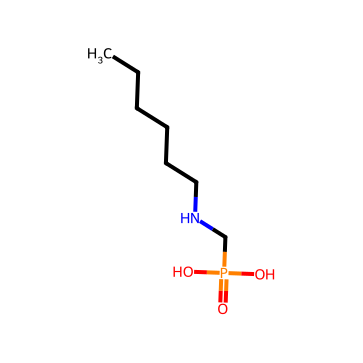 CCCCCCNCP(=O)(O)O